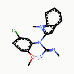 CN=C(N)N(c1cc(Cl)ccc1OC)c1cc2ccccc2n1C